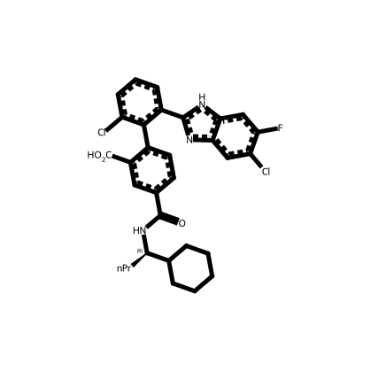 CCC[C@@H](NC(=O)c1ccc(-c2c(Cl)cccc2-c2nc3cc(Cl)c(F)cc3[nH]2)c(C(=O)O)c1)C1CCCCC1